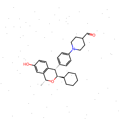 C[C@H]1O[C@H](C2CCCCC2)[C@@H](c2ccc(N3CCC(C=O)CC3)cc2)c2ccc(O)cc21